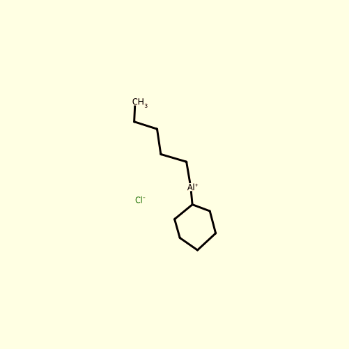 CCCC[CH2][Al+][CH]1CCCCC1.[Cl-]